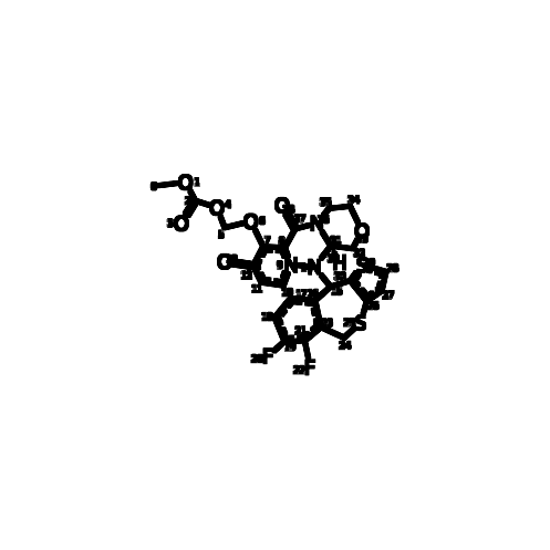 COC(=O)OCOc1c2n(ccc1=O)N(C1c3ccc(F)c(F)c3CSc3ccsc31)[C@@H]1COCCN1C2=O